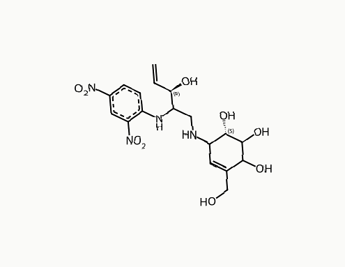 C=C[C@@H](O)C(CNC1C=C(CO)C(O)C(O)[C@H]1O)Nc1ccc([N+](=O)[O-])cc1[N+](=O)[O-]